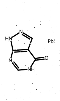 O=c1[nH]cnc2[nH]ncc12.[Pb]